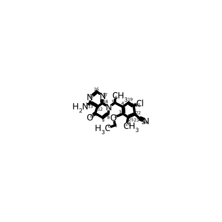 CCOc1c(C(C)n2ccc(=O)c3c(N)ncnc32)cc(Cl)c(C#N)c1C